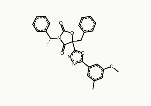 COc1cc(C)cc(-c2nnc([C@@]3(Cc4ccccc4)OC(=O)N([C@H](C)c4ccccc4)C3=O)o2)c1